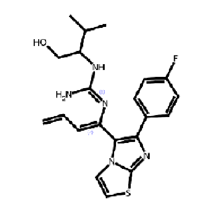 C=C/C=C(\N=C(/N)NC(CO)C(C)C)c1c(-c2ccc(F)cc2)nc2sccn12